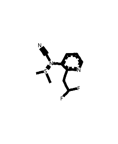 CS(C)=[N+](C#N)c1cccnc1CC(F)F